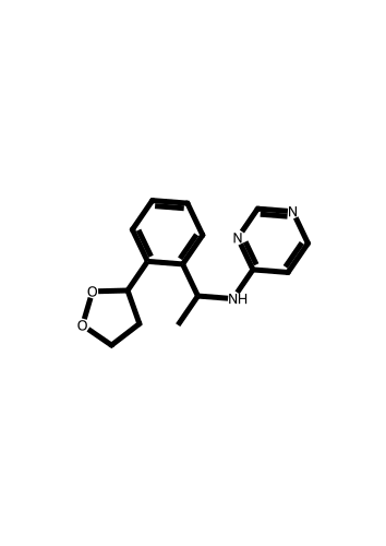 CC(Nc1ccncn1)c1ccccc1C1CCOO1